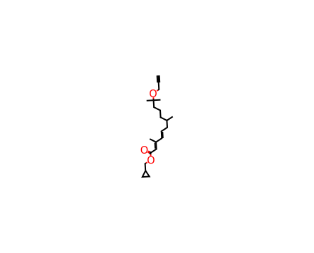 C#CCOC(C)(C)CCCC(C)C/C=C/C(C)=C/C(=O)OCC1CC1